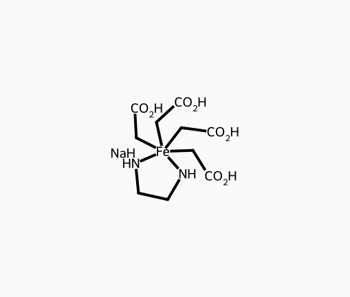 O=C(O)[CH2][Fe]1([CH2]C(=O)O)([CH2]C(=O)O)([CH2]C(=O)O)[NH]CC[NH]1.[NaH]